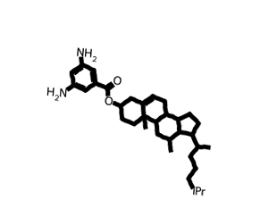 CC(C)CCCC(C)C1CCC2C3CC=C4CC(OC(=O)c5cc(N)cc(N)c5)CCC4(C)C3CC(C)C12